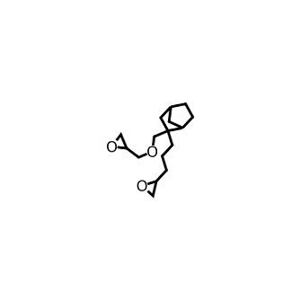 C(CC1CO1)CC1(COCC2CO2)CC2CCC1C2